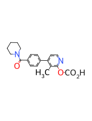 Cc1c(-c2ccc(C(=O)N3CCCCC3)cc2)ccnc1OC(=O)O